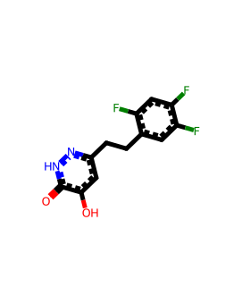 O=c1[nH]nc(CCc2cc(F)c(F)cc2F)cc1O